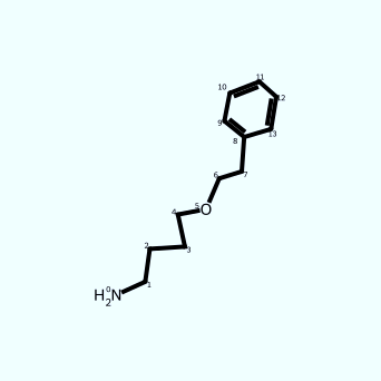 NCCCCOCCc1ccccc1